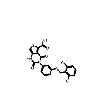 O=C(O)c1scc2[nH]c(=O)n(-c3cccc(SCc4c(Cl)cccc4Cl)c3)c(=O)c12